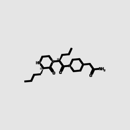 CCCC[C@@H]1NCCN([C@@H](CCC)C(=O)N2CCC(CC(N)=O)CC2)C1=O